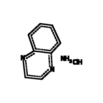 Cl.N.c1ccc2nccnc2c1